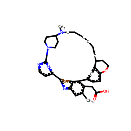 Cc1cc2nc3sc2c(c1CC(=O)O)-c1ccc2c(c1)C(CCCCCCN(C)C1CCN(CC1)c1nccc-3n1)CCO2